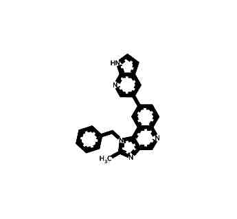 Cc1nc2cnc3ccc(-c4cnc5[nH]ccc5c4)cc3c2n1Cc1ccccc1